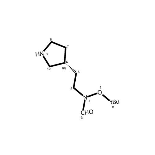 CC(C)(C)ON(C=O)CC[C@H]1CCNC1